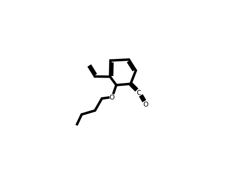 C=CC1=CC=CC(=C=O)C1OCCCC